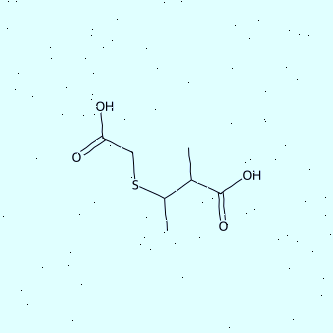 CC(SCC(=O)O)C(C)C(=O)O